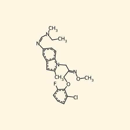 CCN(C)/C=N\c1ccc2c(c1)cc(C)n2C/C(COc1c(F)cccc1Cl)=N/OC